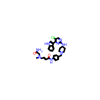 CN(CC=CC(=O)Nc1ccc(CN2CCC(Nc3ncc(Cl)c(-c4c[nH]c5ccccc45)n3)CC2)cc1)CC(N)=O